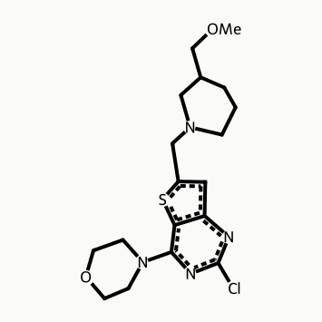 COCC1CCCN(Cc2cc3nc(Cl)nc(N4CCOCC4)c3s2)C1